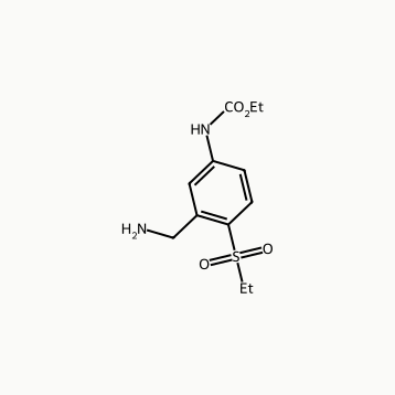 CCOC(=O)Nc1ccc(S(=O)(=O)CC)c(CN)c1